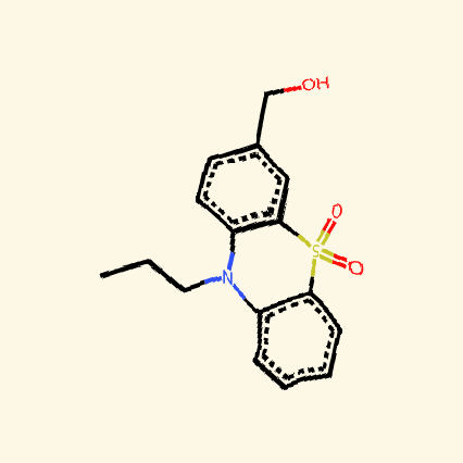 CCCN1c2ccccc2S(=O)(=O)c2cc(CO)ccc21